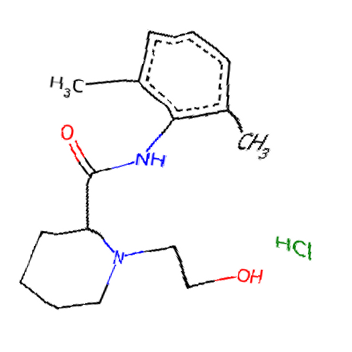 Cc1cccc(C)c1NC(=O)C1CCCCN1CCO.Cl